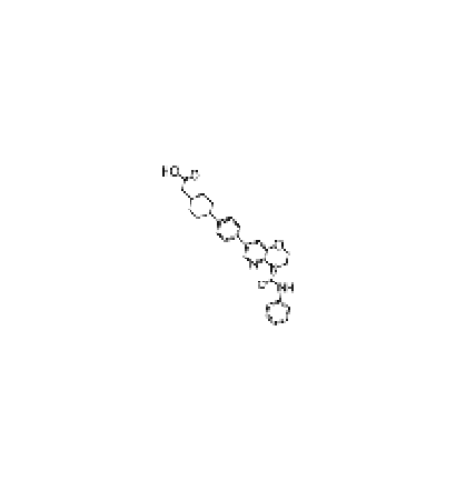 O=C(O)CC1CCC(c2ccc(-c3cnc4c(c3)OCCN4C(=O)Nc3ccccc3)cc2)CC1